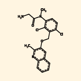 Cc1nc2ccccc2cc1OCc1c(Cl)ccc(N(C)C(=O)CN)c1Cl